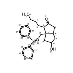 CCCCC1C(=O)CC2CC(O)CC21CO[SiH](c1ccccc1)c1ccccc1